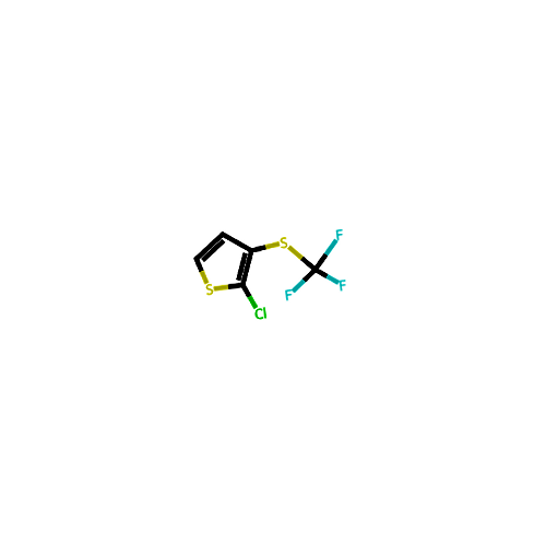 FC(F)(F)Sc1ccsc1Cl